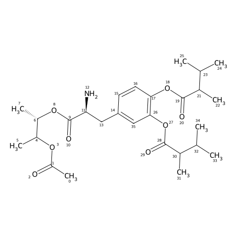 CC(=O)OC(C)[C@H](C)OC(=O)[C@@H](N)Cc1ccc(OC(=O)C(C)C(C)C)c(OC(=O)C(C)C(C)C)c1